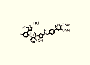 COc1cc(-c2ccc(CN[C@H]3C[C@@H](O)[C@@H](N(C)c4ncncc4Oc4ccc(F)cc4-c4ccnn4C(C)C)C3)cc2)nnc1OC.Cl